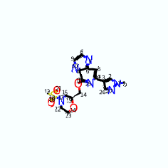 Cn1cc(-c2cc3nccnc3c(OC[C@@H]3CN(S(C)(=O)=O)CCO3)n2)cn1